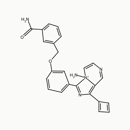 NC(=O)c1cccc(COc2cccc(C3=NC(C4=CC=C4)=C4C=NC=C[N+]34N)c2)c1